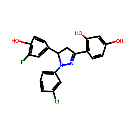 Oc1ccc(C2=NN(c3cccc(Cl)c3)C(c3ccc(O)c(F)c3)C2)c(O)c1